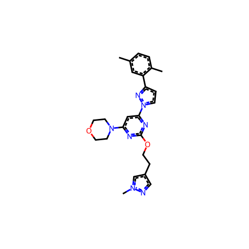 Cc1ccc(C)c(-c2ccn(-c3cc(N4CCOCC4)nc(OCCc4cnn(C)c4)n3)n2)c1